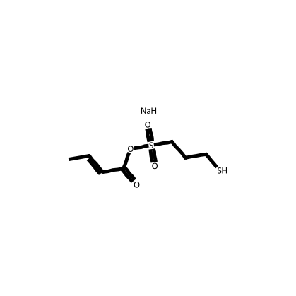 CC=CC(=O)OS(=O)(=O)CCCS.[NaH]